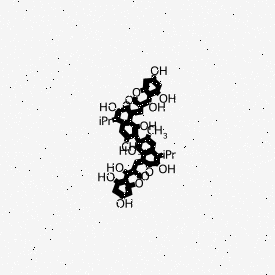 Cc1cc2c(c(O)c1-c1c(C)cc3c(c1O)/C(=C/c1c(O)c4c(O)cc(O)cc4oc1=O)C(=O)C(O)=C3C(C)C)/C(=C/c1c(O)c3c(O)cc(O)cc3oc1=O)C(=O)C(O)=C2C(C)C